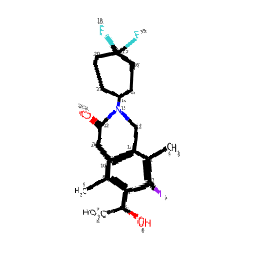 Cc1c(I)c(C(O)C(=O)O)c(C)c2c1CN(C1CCC(F)(F)CC1)C(=O)C2